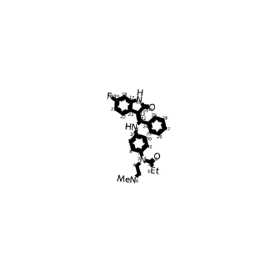 CCC(=O)N(CCNC)c1ccc(NC(=C2C(=O)Nc3cc(F)ccc32)c2ccccc2)cc1